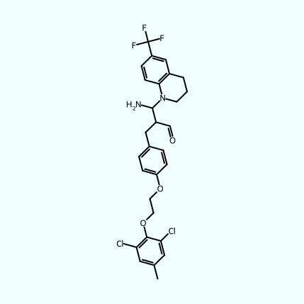 Cc1cc(Cl)c(OCCOc2ccc(CC(C=O)C(N)N3CCCc4cc(C(F)(F)F)ccc43)cc2)c(Cl)c1